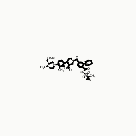 COC[C@H]1CN(c2ccc3c4c(c(=O)oc3c2C)CN(C(=O)c2ccc(C(=O)NS(=O)(=O)C3(C)CC3)c(N3C5CCC3CC5)c2)CC4)CCN1C